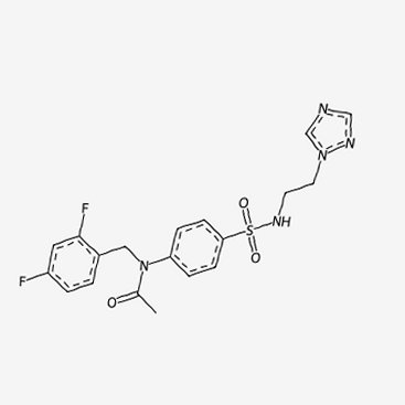 CC(=O)N(Cc1ccc(F)cc1F)c1ccc(S(=O)(=O)NCCn2cncn2)cc1